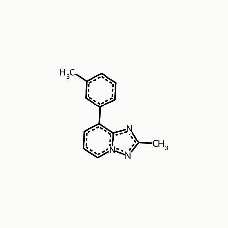 Cc1cccc(-c2cccn3nc(C)nc23)c1